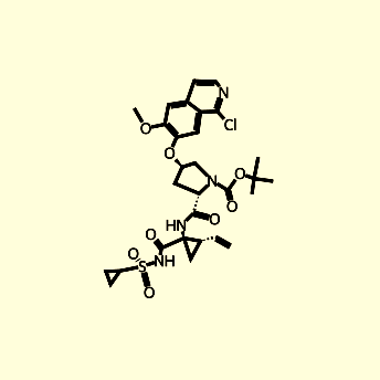 C=C[C@@H]1C[C@]1(NC(=O)[C@@H]1C[C@@H](Oc2cc3c(Cl)nccc3cc2OC)CN1C(=O)OC(C)(C)C)C(=O)NS(=O)(=O)C1CC1